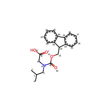 CC(C)CN(CC(=O)O)C(=O)OCC1c2ccccc2-c2ccccc21